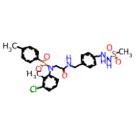 Cc1ccc(S(=O)(=O)N(CC(=O)NCc2ccc(NNS(C)(=O)=O)cc2)c2cccc(Cl)c2C)cc1